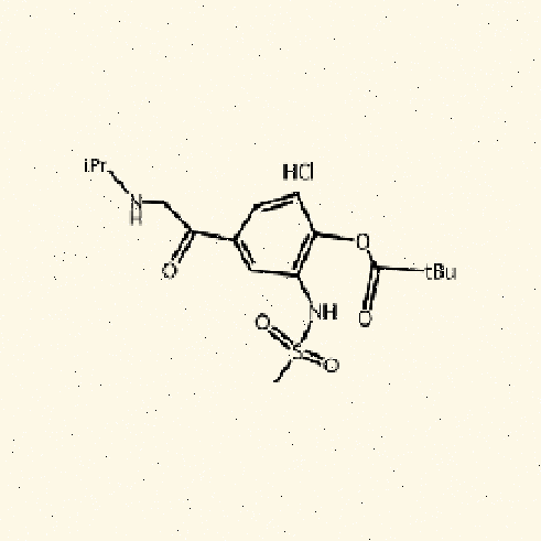 CC(C)NCC(=O)c1ccc(OC(=O)C(C)(C)C)c(NS(C)(=O)=O)c1.Cl